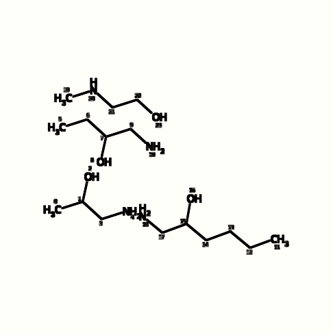 CC(O)CN.CCC(O)CN.CCCCC(O)CN.CNCCO